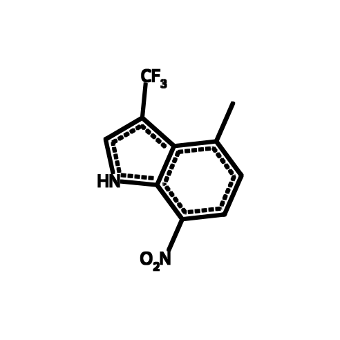 Cc1ccc([N+](=O)[O-])c2[nH]cc(C(F)(F)F)c12